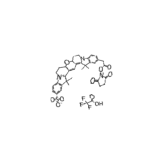 CC1(C)C2=C3C=C4C5=[N+](CCC4OC3CCN2c2ccc(CC(=O)ON3C(=O)CCC3=O)cc21)c1ccc(S(=O)(=O)[O-])cc1C5(C)C.O=C(O)C(F)(F)F